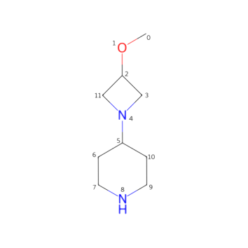 COC1CN(C2CCNCC2)C1